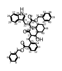 O=C(OCc1ccccc1)c1ccccc1CC(C(=O)N[C@@H](Cc1c[nH]c2ccccc12)C(=O)OCc1ccccc1)C(O)C1CCCCC1